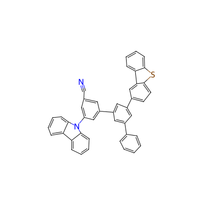 N#Cc1cc(-c2cc(-c3ccccc3)cc(-c3ccc4sc5ccccc5c4c3)c2)cc(-n2c3ccccc3c3ccccc32)c1